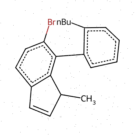 CCCCc1ccccc1-c1c(Br)ccc2c1C(C)C=C2